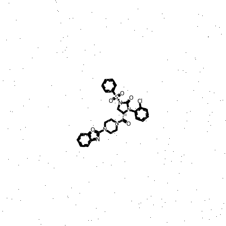 O=C([C@@H]1CN(S(=O)(=O)c2ccccc2)C(=O)N1c1ccccc1Cl)N1CCN(c2nc3ccccc3o2)CC1